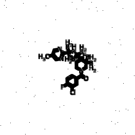 BC(B)(NC(B)(B)C1(F)CCN(C(=O)c2ccc(F)c(Cl)c2)CC1(B)B)c1ncc(C)cn1